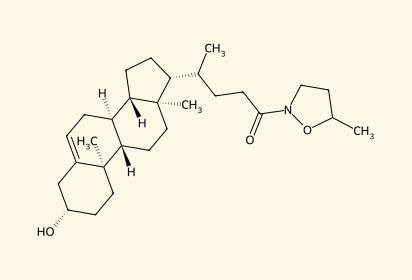 CC1CCN(C(=O)CCC(C)[C@H]2CC[C@H]3[C@@H]4CC=C5C[C@@H](O)CC[C@]5(C)[C@H]4CC[C@]23C)O1